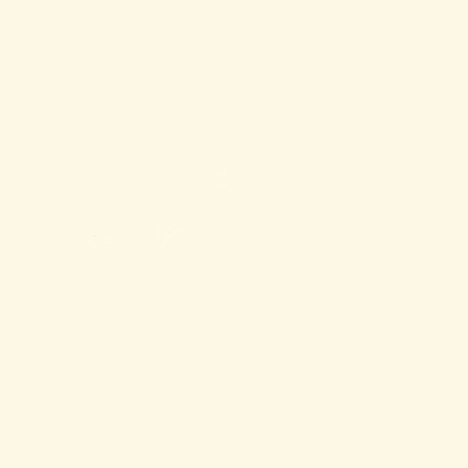 CCCC(CC)(Pc1ccccc1C=O)c1cc(Cc2ccccc2)cc(Cc2ccccc2)c1OC